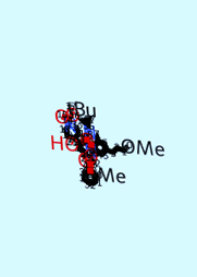 COCCCc1cc(CN(C(=O)[C@H]2CN(C(=O)OC(C)(C)C)CC[C@@]2(O)c2ccnc(OCc3ccccc3)c2)C2CC2)cc(OCCOC)c1